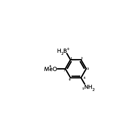 Bc1ccc(N)cc1OC